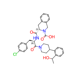 CC(O)c1ccccc1C1CCN(C(=O)[C@@H](Cc2ccc(Cl)cc2)NC(=O)[C@@H]2Cc3ccccc3CN2C(=O)O)CC1